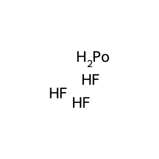 F.F.F.[PoH2]